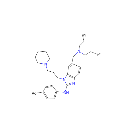 CC(=O)c1ccc(Nc2nc3ccc(CN(CCC(C)C)CCC(C)C)cc3n2CCCN2CCCCC2)cc1